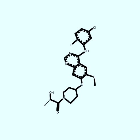 COc1cc2c(Nc3cc(Cl)ccc3F)ncnc2cc1OC1CCN(C(=O)[C@H](C)O)CC1